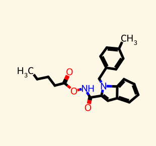 CCCCC(=O)ONC(=O)c1cc2ccccc2n1Cc1ccc(C)cc1